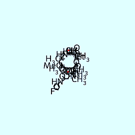 CC[C@H]1OC(=O)C(C)C(=O)[C@H](C)[C@@H](O[C@@H]2OC(CNc3ccc(F)cc3)CC(N(C)C)C2O)[C@](C)(OC)C[C@@H](C)CN[C@H](C)[C@H]2NC(=O)O[C@@]21C